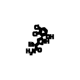 CC[C@@H](C(N)=O)[C@@H]1CN[C@@H](c2c(O)ccc(Cl)c2Cl)C1